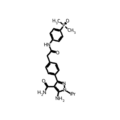 CC(C)n1nc(-c2ccc(CC(=O)Nc3ccc(P(C)(C)=O)cc3)cc2)c(C(N)=O)c1N